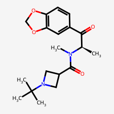 C[C@H](C(=O)c1ccc2c(c1)OCO2)N(C)C(=O)C1CN(C(C)(C)C)C1